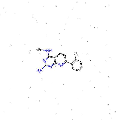 CCCNc1nc(N)nc2nc(-c3ccccc3C(F)(F)F)ccc12